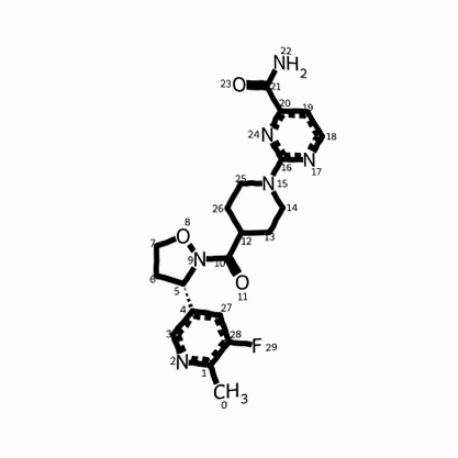 Cc1ncc([C@@H]2CCON2C(=O)C2CCN(c3nccc(C(N)=O)n3)CC2)cc1F